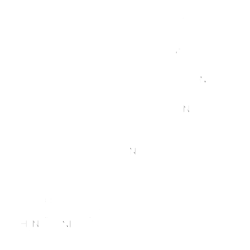 NC(=O)Nc1cc2cc(C#[N+]CCCCN3CCN(c4cccc5c4OCCCC5)CC3)ccc2s1